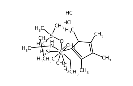 Cl.Cl.[CH2]=[Zr]([CH3])([CH3])([CH3])([SiH3])([CH2]C)([NH]C(C)(C)C)([O][Si](C)(C)C)[C]1=C(C)C(C)=C(C)C1C